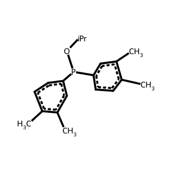 Cc1ccc(P(OC(C)C)c2ccc(C)c(C)c2)cc1C